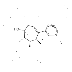 C[C@H]1[C@H](C)[C@H](C)C(c2ccccc2)=CC[C@H]1O